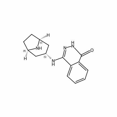 O=c1[nH]nc(N[C@@H]2C[C@H]3CC[C@@H](C2)N3)c2ccccc12